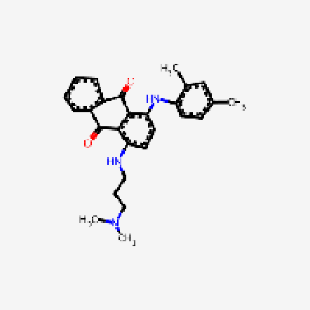 Cc1ccc(Nc2ccc(NCCCN(C)C)c3c2C(=O)c2ccccc2C3=O)c(C)c1